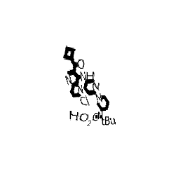 CC(C)(C)N(C(=O)O)C1CCCN(c2ccc(Nc3c(C(=O)C4CCC4)cnc4ccc(Cl)nc34)cn2)C1